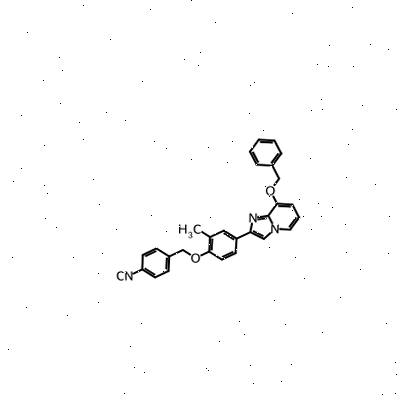 [C-]#[N+]c1ccc(COc2ccc(-c3cn4cccc(OCc5ccccc5)c4n3)cc2C)cc1